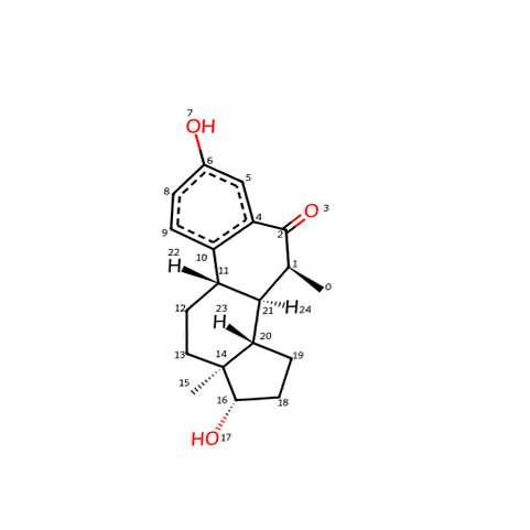 C[C@@H]1C(=O)c2cc(O)ccc2[C@H]2CC[C@]3(C)[C@@H](O)CC[C@H]3[C@H]12